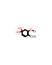 CCOC1=C(C=O)C=CC(O)(O)C1